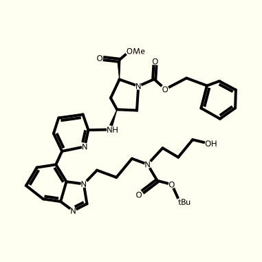 COC(=O)[C@@H]1C[C@H](Nc2cccc(-c3cccc4ncn(CCCN(CCCO)C(=O)OC(C)(C)C)c34)n2)CN1C(=O)OCc1ccccc1